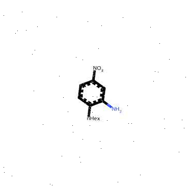 CCCCCCc1ccc([N+](=O)[O-])cc1N